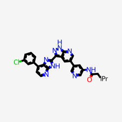 CC(C)CC(=O)Nc1cncc(-c2cnc3[nH]nc(-c4nc5c(-c6cccc(Cl)c6)ccnc5[nH]4)c3c2)c1